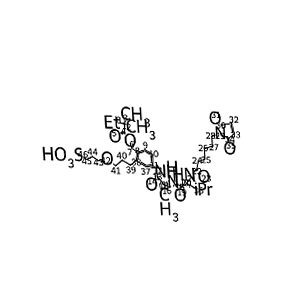 CCC(C)(C)C(=O)OCc1ccc(NC(=O)[C@H](C)NC(=O)[C@@H](NC(=O)CCCCCN2C(=O)C=CC2=O)C(C)C)cc1CCCOCCCS(=O)(=O)O